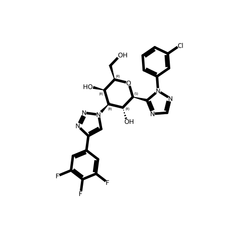 OC[C@H]1O[C@@H](c2ncnn2-c2cccc(Cl)c2)[C@H](O)[C@@H](n2cc(-c3cc(F)c(F)c(F)c3)nn2)[C@H]1O